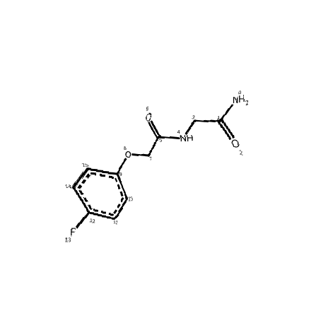 NC(=O)CNC(=O)COc1ccc(F)cc1